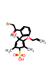 C=CCOC1=C(C)C(S(=O)(=O)O)C(C)=CC1(C)c1ccccc1C(=O)CBr